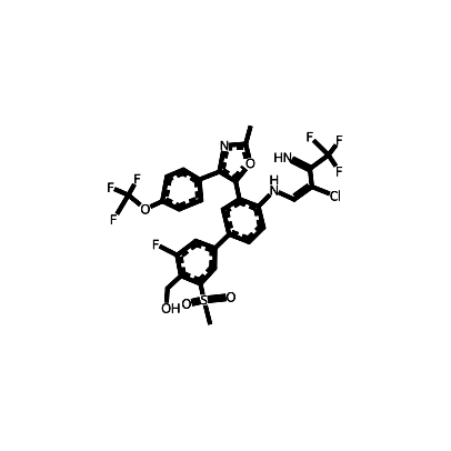 Cc1nc(-c2ccc(OC(F)(F)F)cc2)c(-c2cc(-c3cc(F)c(CO)c(S(C)(=O)=O)c3)ccc2N/C=C(/Cl)C(=N)C(F)(F)F)o1